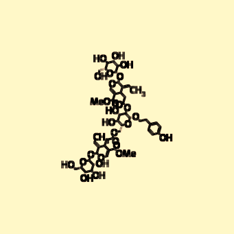 C/C=C1\C(CC(=O)OC[C@H]2O[C@@H](OCCc3ccc(O)cc3)[C@H](OC(=O)CC3C(C(=O)OC)=CO[C@@H](O[C@@H]4O[C@H](CO)[C@@H](O)[C@H](O)[C@H]4O)/C3=C/C)[C@@H](O)[C@@H]2O)C(C(=O)OC)=CO[C@H]1O[C@@H]1O[C@H](CO)[C@@H](O)[C@H](O)[C@H]1O